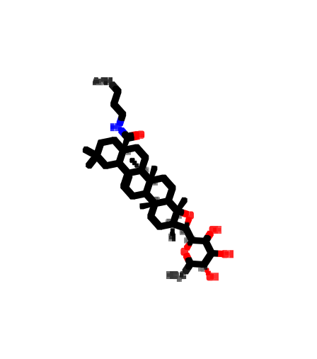 CC(=O)NCCCNC(=O)[C@]12CCC(C)(C)CC1C1=CCC3[C@@]4(C)CC[C@@H]5[C@H]([C@@H]6OC(C(=O)O)[C@@H](O)C(O)C6O)O[C@@]5(C)C4CC[C@@]3(C)[C@]1(C)CC2